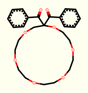 O=C(c1ccccc1)C1(C(=O)c2ccccc2)COCCOCCOCCOCCOCCO1